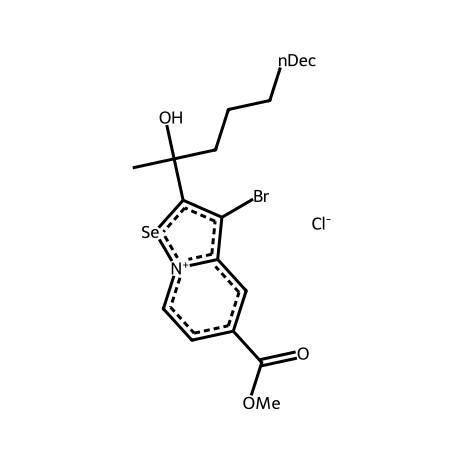 CCCCCCCCCCCCCC(C)(O)c1[se][n+]2ccc(C(=O)OC)cc2c1Br.[Cl-]